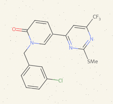 CSc1nc(-c2ccc(=O)n(Cc3cccc(Cl)c3)c2)cc(C(F)(F)F)n1